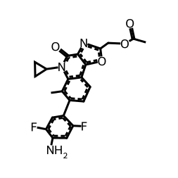 CC(=O)OCc1nc2c(=O)n(C3CC3)c3c(C)c(-c4cc(F)c(N)cc4F)ccc3c2o1